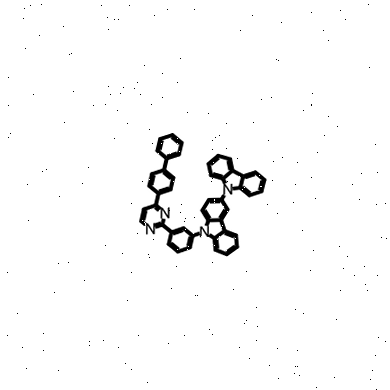 c1ccc(-c2ccc(-c3ccnc(-c4cccc(-n5c6ccccc6c6cc(-n7c8ccccc8c8ccccc87)ccc65)c4)n3)cc2)cc1